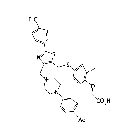 CC(=O)c1ccc(N2CCN(Cc3nc(-c4ccc(C(F)(F)F)cc4)sc3CSc3ccc(OCC(=O)O)c(C)c3)CC2)cc1